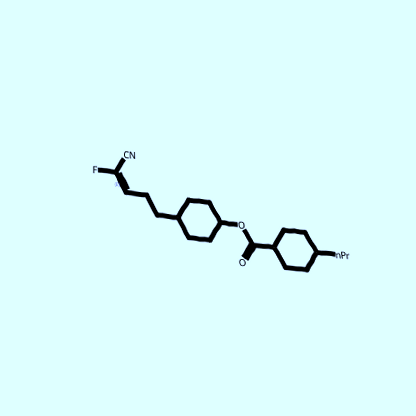 CCCC1CCC(C(=O)OC2CCC(CC/C=C(/F)C#N)CC2)CC1